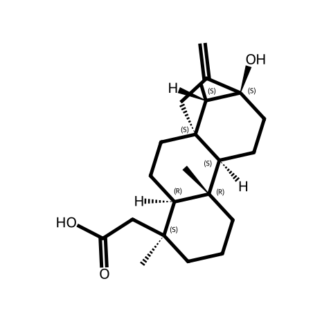 C=C1C[C@@]23CC[C@@H]4[C@](C)(CC(=O)O)CCC[C@@]4(C)[C@@H]2CC[C@]1(O)[C@H]3C